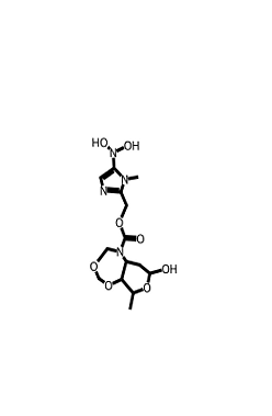 CC1OC(O)CC2C1OCOCN2C(=O)OCc1ncc(N(O)O)n1C